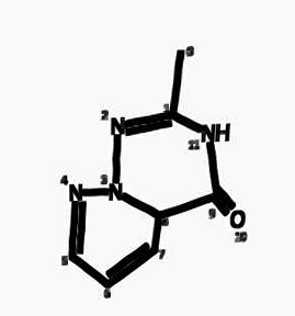 CC1=NN2N=CC=CC2C(=O)N1